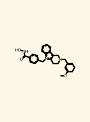 COC1=CC(CN2CCc3c(c4ccccc4n3Cc3ccc(C(=O)NO)cc3)C2)=CCC1